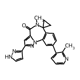 Cc1ncccc1-c1ccc2c(c1)-n1nc(-c3cc[nH]n3)cc1C(=O)N(C)C21CC1